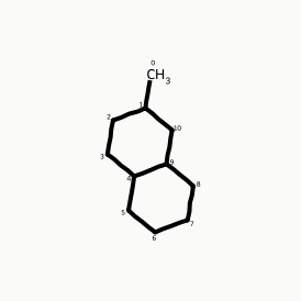 CC1CCC2CCCCC2C1